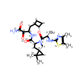 Cc1nc(N[C@H](C(=O)N2C[C@]3(C[C@H]2C(=O)NC(CC2CCC2)C(=O)C(N)=O)CC3(C)C)C(C)(C)C)sc1C